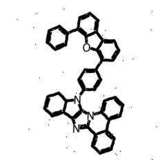 C1=CCC2C(=C1)c1nc3c4ccccc4c4ccccc4n3c1N2c1ccc(-c2cccc3c2oc2c(-c4ccccc4)cccc23)cc1